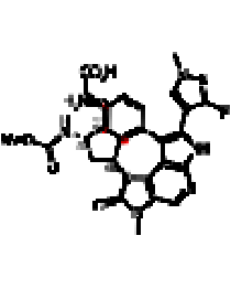 COC(=O)N[C@H]1C[C@H](n2c(=O)n(C)c3cnc4[nH]c(-c5cn(C)nc5F)c(-c5ccc(N)cc5)c4c32)C[C@H]1OCC(=O)O